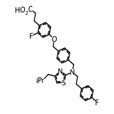 CC(C)Cc1csc(N(CCc2ccc(F)cc2)Cc2ccc(COc3ccc(CCC(=O)O)c(F)c3)cc2)n1